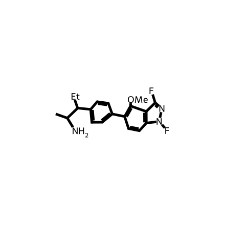 CCC(c1ccc(-c2ccc3c(c(F)nn3F)c2OC)cc1)C(C)N